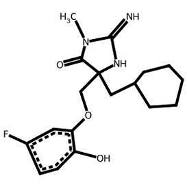 CN1C(=N)NC(COc2cc(F)ccc2O)(CC2CCCCC2)C1=O